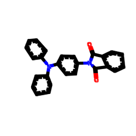 O=C1c2ccccc2C(=O)N1c1ccc(N(c2ccccc2)c2ccccc2)cc1